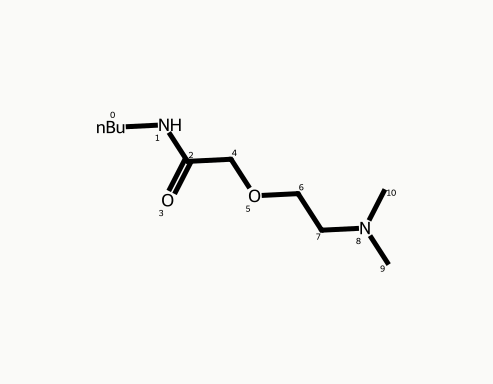 CCCCNC(=O)COCCN(C)C